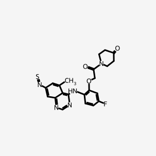 Cc1cc(N=S)cc2ncnc(Nc3ccc(F)cc3OCC(=O)N3CCC(=O)CC3)c12